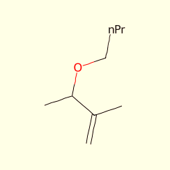 C=C(C)C(C)OCCCC